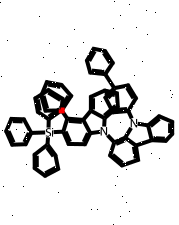 c1ccc(-c2ccc(-n3c4ccccc4c4cccc(-n5c6ccccc6c6c(-c7ccccc7)c([Si](c7ccccc7)(c7ccccc7)c7ccccc7)ccc65)c43)cc2)cc1